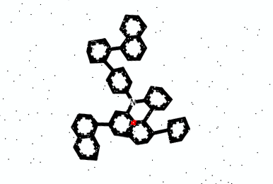 c1ccc(-c2ccccc2-c2ccccc2N(c2ccc(-c3ccccc3-c3cccc4ccccc34)cc2)c2cccc(-c3cccc4ccccc34)c2)cc1